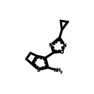 Nc1sc2c(c1-c1nc(C3CC3)no1)CC2